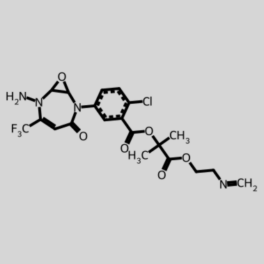 C=NCCOC(=O)C(C)(C)OC(=O)c1cc(N2C(=O)C=C(C(F)(F)F)N(N)C3OC32)ccc1Cl